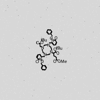 COC(=O)CCC(C(=O)OC(C)(C)C)N1CCN(Cc2cccc(=O)n2OCc2ccccc2)CCN(CC(=O)OC(C)(C)C)CCN(Cc2cccc(=O)n2OCc2ccccc2)CC1